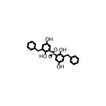 O=S(=O)(c1cc(O)cc(Cc2ccccc2)c1O)c1cc(O)cc(Cc2ccccc2)c1O